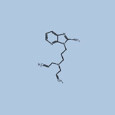 C=CCN(CC=C)CCCn1c(N)nc2cccnc21